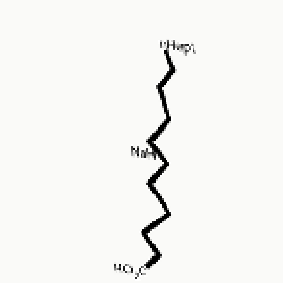 CCCCCCCCCCCCCCCCC(=O)O.[NaH]